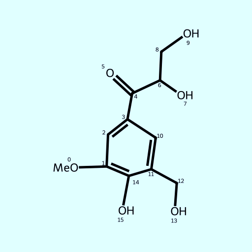 COc1cc(C(=O)C(O)CO)cc(CO)c1O